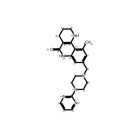 Cc1cc(CN2CCN(c3ncccn3)CC2)cc2[nH]c(=O)c3c(c12)NCCC3